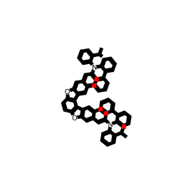 CC(C)c1ccccc1N(c1ccc2cc3c(cc2c1)oc1ccc2oc4cc5cc(N(c6ccccc6-c6ccccc6)c6ccccc6C(C)C)ccc5cc4c2c13)c1ccccc1-c1ccccc1